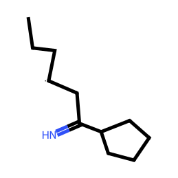 CCC[CH]CC(=N)C1CCCC1